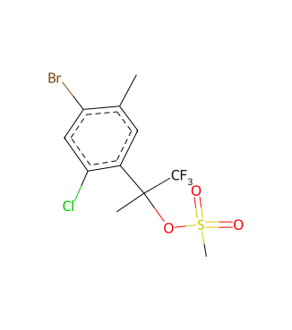 Cc1cc(C(C)(OS(C)(=O)=O)C(F)(F)F)c(Cl)cc1Br